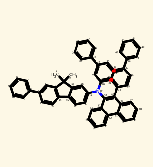 CC1(C)c2cc(-c3ccccc3)ccc2-c2ccc(N(c3cccc(-c4ccccc4)c3)c3c(-c4ccc(-c5ccccc5)cc4)c4ccccc4c4ccccc34)cc21